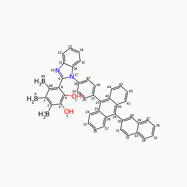 Bc1c(B)c(O)c(O)c(-c2nc3ccccc3n2-c2ccc(-c3c4ccccc4c(-c4ccc5ccccc5c4)c4ccccc34)cc2)c1B